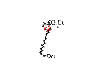 CCCCCCCC/C=C\CCCCCCCCCCCC(=O)OC(C(=O)OCC)C(C)C